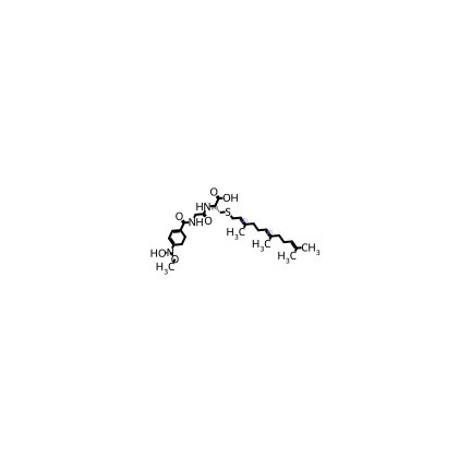 CON(O)C1=CC=C(C(=O)NCC(=O)N[C@@H](CSC/C=C(\C)CC/C=C(\C)CCC=C(C)C)C(=O)O)CC1